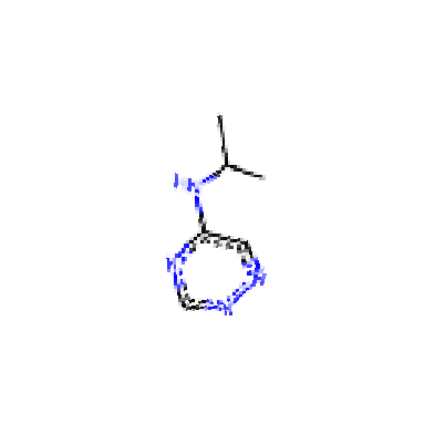 CC(C)Nc1cnncn1